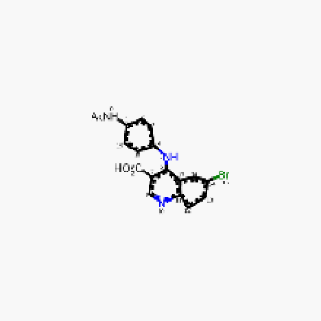 CC(=O)Nc1ccc(Nc2c(C(=O)O)cnc3ccc(Br)cc23)cc1